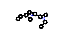 c1ccc(-c2cccc(-n3c4ccccc4c4cc(-c5ccc6c7ccccc7n(-c7ccccc7-c7cccc(-c8ccc9ccccc9c8)c7)c6c5)ccc43)c2)cc1